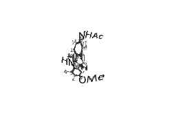 COc1cc(C)c2c(c1)[C@@H]1Cc3cc(NC(C)=O)ccc3[C@@H]1N2